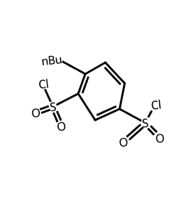 CCCCc1ccc(S(=O)(=O)Cl)cc1S(=O)(=O)Cl